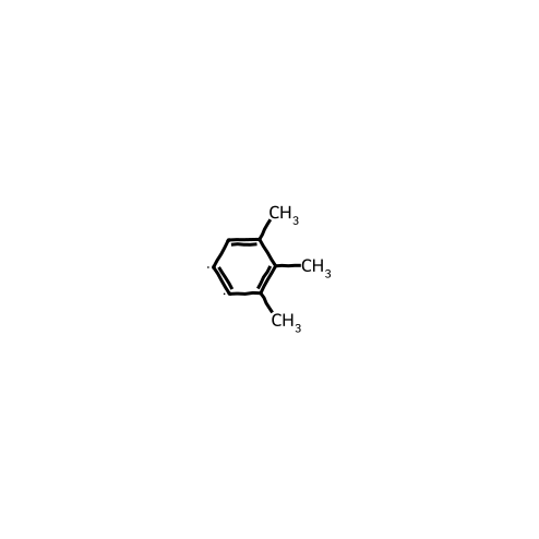 Cc1[c][c]cc(C)c1C